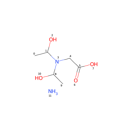 CC(O)N(CC(=O)O)C(C)O.N